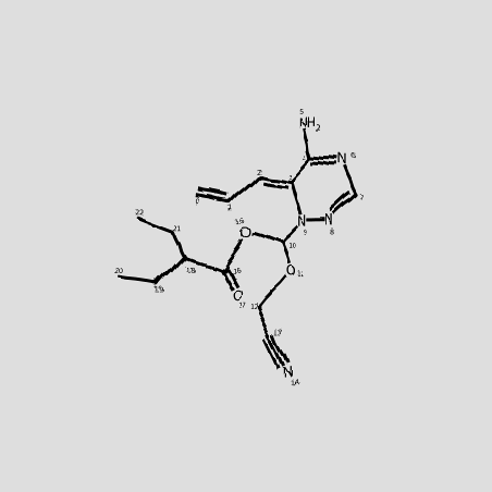 C=C/C=C1/C(N)=NC=NN1C(OCC#N)OC(=O)C(CC)CC